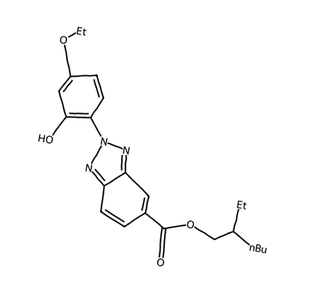 CCCCC(CC)COC(=O)c1ccc2nn(-c3ccc(OCC)cc3O)nc2c1